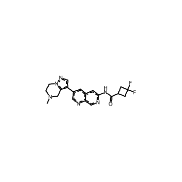 CN1CCn2ncc(-c3cnc4cnc(NC(=O)C5CC(F)(F)C5)cc4c3)c2C1